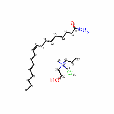 CCCCCCCC/C=C\CCCCCCCC(N)=O.CCC[N+](C)(C)CCO.[Cl-]